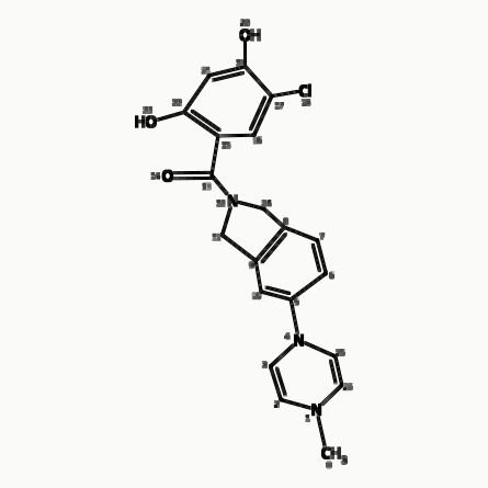 CN1C=CN(c2ccc3c(c2)CN(C(=O)c2cc(Cl)c(O)cc2O)C3)C=C1